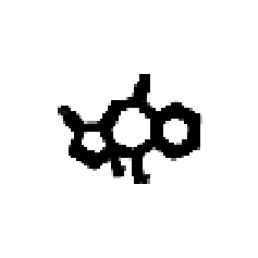 CC(=O)C1c2ccccc2[N+](=O)C=C2C(=O)C=C[N+]21[O-]